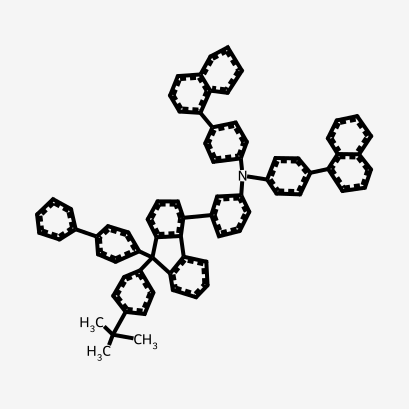 CC(C)(C)c1ccc(C2(c3ccc(-c4ccccc4)cc3)c3ccccc3-c3c(-c4cccc(N(c5ccc(-c6cccc7ccccc67)cc5)c5ccc(-c6cccc7ccccc67)cc5)c4)cccc32)cc1